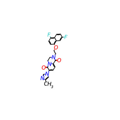 Cc1cn(-c2ccc3n(c2=O)CCN(CCOc2ccc(F)c4ccc(F)cc24)C3=O)cn1